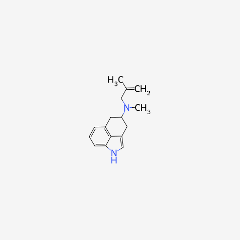 C=C(C)CN(C)C1Cc2cccc3[nH]cc(c23)C1